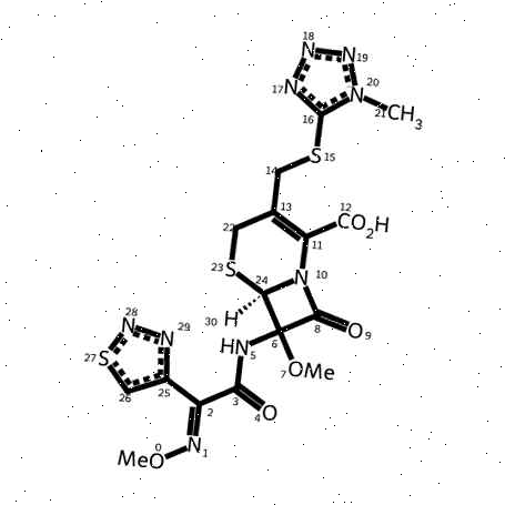 CO/N=C(/C(=O)NC1(OC)C(=O)N2C(C(=O)O)=C(CSc3nnnn3C)CS[C@@H]21)c1csnn1